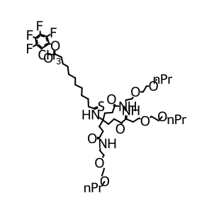 CCCOCCOCCNC(=O)CCC(CCC(=O)NCCOCCOCCC)(CCC(=O)C(=N)CCOCCOCCC)NC(=S)CCCCCCCCCCC(=O)Oc1c(C)c(F)c(F)c(F)c1F